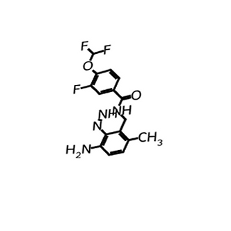 Cc1ccc(N)c(N=N)c1CNC(=O)c1ccc(OC(F)F)c(F)c1